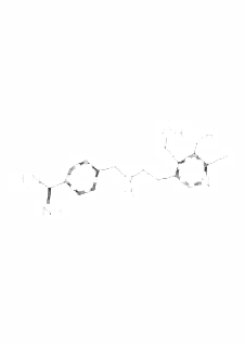 Cc1ncc(CCNCc2ccc(C(=N)N)cc2)c(CO)c1O